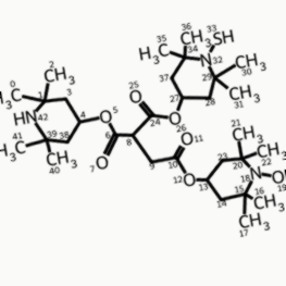 CC1(C)CC(OC(=O)C(CC(=O)OC2CC(C)(C)N(O)C(C)(C)C2)C(=O)OC2CC(C)(C)N(S)C(C)(C)C2)CC(C)(C)N1